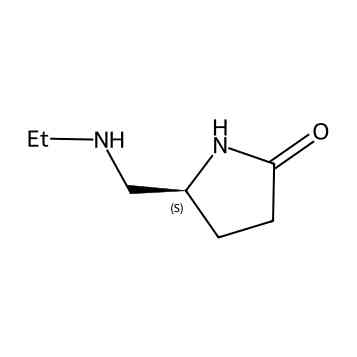 CCNC[C@@H]1CCC(=O)N1